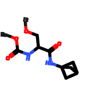 CCOCC(NC(=O)OC(C)(C)C)C(=O)NC12CC(C1)C2